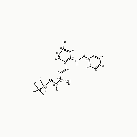 C[C@H](O[Si](C)(C)C(C)(C)C)[C@@H](O)C=Cc1ccc(F)cc1OCc1ccccc1